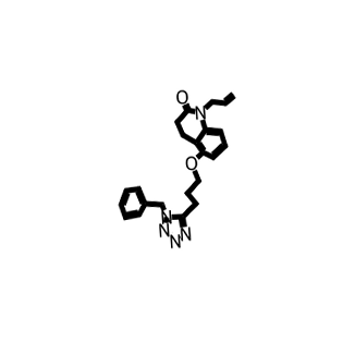 C=CCN1C(=O)CCc2c(OCCCc3nnnn3Cc3ccccc3)cccc21